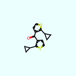 O=C(c1ccsc1C1CC1)c1ccsc1C1CC1